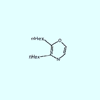 CCCCCCC1=C(CCCCCC)OC=C[N]1